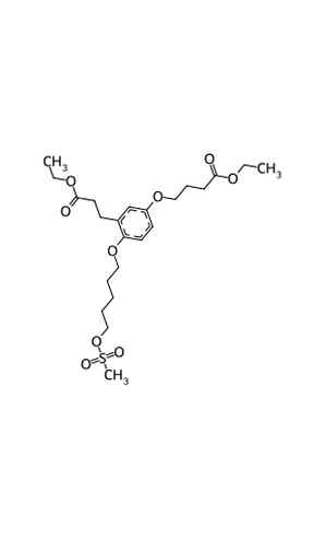 CCOC(=O)CCCOc1ccc(OCCCCCOS(C)(=O)=O)c(CCC(=O)OCC)c1